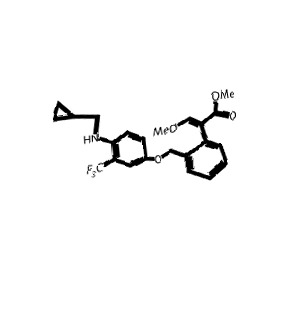 CO/C=C(/C(=O)OC)c1ccccc1COc1ccc(NCC2CC2)c(C(F)(F)F)c1